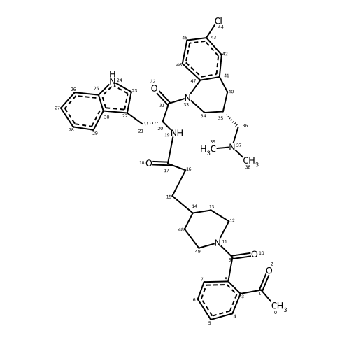 CC(=O)c1ccccc1C(=O)N1CCC(CCC(=O)N[C@H](Cc2c[nH]c3ccccc23)C(=O)N2C[C@@H](CN(C)C)Cc3cc(Cl)ccc32)CC1